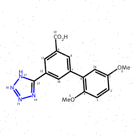 COc1ccc(OC)c(-c2cc(C(=O)O)cc(-c3nnn[nH]3)c2)c1